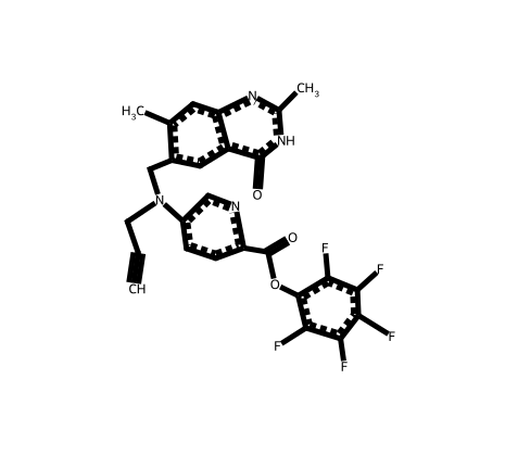 C#CCN(Cc1cc2c(=O)[nH]c(C)nc2cc1C)c1ccc(C(=O)Oc2c(F)c(F)c(F)c(F)c2F)nc1